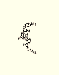 COc1cc(F)cc(-c2ccnc3[nH]c(-c4n[nH]c5cnc(-c6cncc(OC7CCNCC7)c6)cc45)nc23)c1